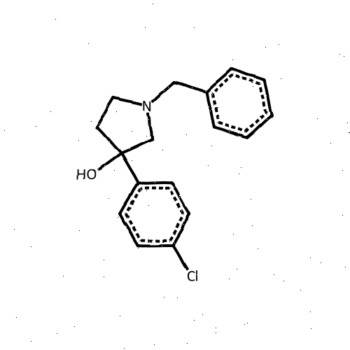 OC1(c2ccc(Cl)cc2)CCN(Cc2ccccc2)C1